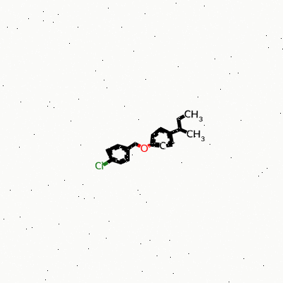 CCC(C)c1ccc(OCc2ccc(Cl)cc2)cc1